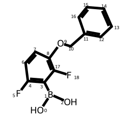 OB(O)c1c(F)ccc(OCc2ccccc2)c1F